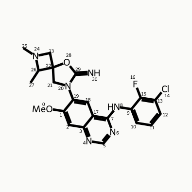 COc1cc2ncnc(Nc3cccc(Cl)c3F)c2cc1N1CC2(CN(C)C2C)OC1=N